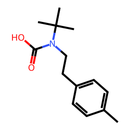 Cc1ccc(CCN(C(=O)O)C(C)(C)C)cc1